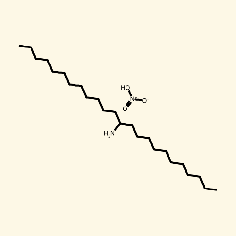 CCCCCCCCCCCCC(N)CCCCCCCCCCC.O=[N+]([O-])O